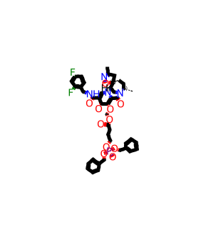 CC1=NO[C@@]2(CC[C@H](C)N3C[C@H]2n2cc(C(=O)NCc4ccc(F)cc4F)c(=O)c(OCOC(=O)CCCOP(=O)(OCc4ccccc4)OCc4ccccc4)c2C3=O)C1